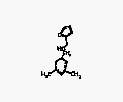 Cc1cc(C)cc(C)c1.OCc1ccco1